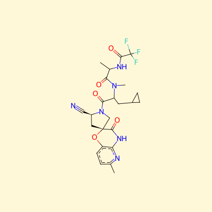 Cc1ccc2c(n1)NC(=O)[C@]1(C[C@@H](C#N)N(C(=O)C(CC3CC3)N(C)C(=O)C(C)NC(=O)C(F)(F)F)C1)O2